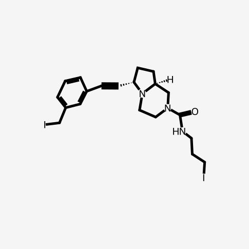 O=C(NCCCI)N1CCN2[C@@H](CC[C@H]2C#Cc2cccc(CI)c2)C1